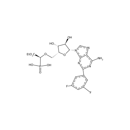 CCOC(=O)[C@@H](OC[C@H]1O[C@@H](n2cnc3c(N)nc(-c4cc(F)cc(F)c4)nc32)[C@H](O)[C@H]1O)P(=O)(O)O